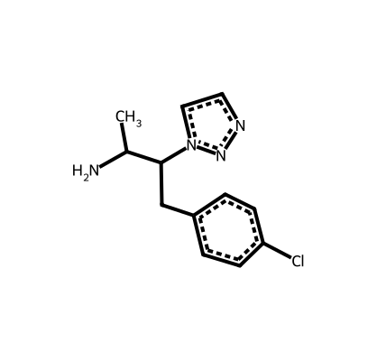 CC(N)C(Cc1ccc(Cl)cc1)n1ccnn1